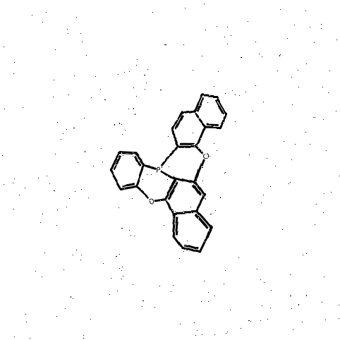 c1ccc2c(c1)Oc1c3c(cc4ccccc14)Oc1c(ccc4ccccc14)P23